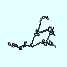 CCCCCCCCC(CC)OC(=O)CCCCCCCN(CCCCCCCC(=O)OC(CCCCCCCC)CCCCCCCC)CCCNSCc1cc(COC)on1